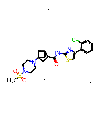 CS(=O)(=O)N1CCN(C23CC(C2)C(C(=O)Nc2nc(-c4ccccc4Cl)cs2)C3)CC1